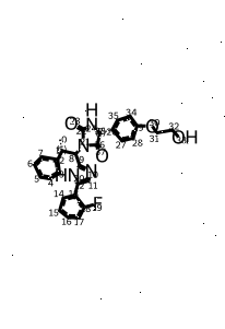 C[C@@H](c1ccccc1)C(c1ncc(-c2ccccc2F)[nH]1)N1C(=O)N[C@H](c2ccc(OCCO)cc2)C1=O